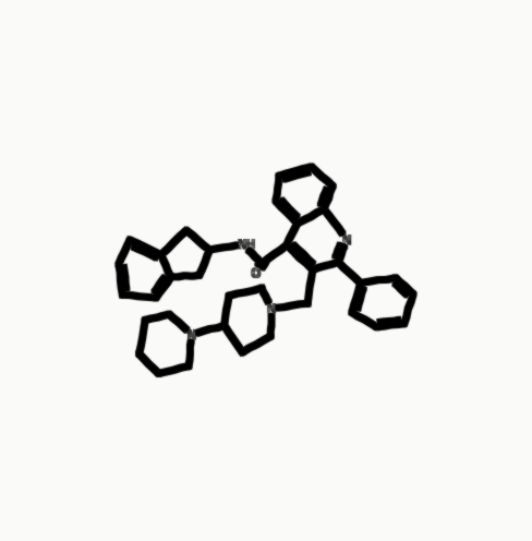 O=C(NC1Cc2ccccc2C1)c1c(CN2CCC(N3CCCCC3)CC2)c(-c2ccccc2)nc2ccccc12